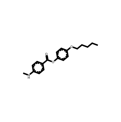 CCCCCOc1ccc(OC(=O)c2ccc(NC)cc2)cc1